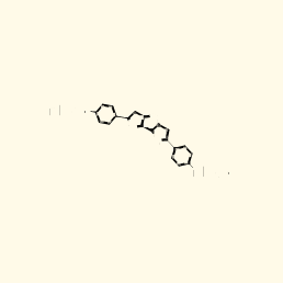 CCCCCCc1ccc(-c2cc3sc4cc(-c5ccc(CCCCCC)cc5)sc4c3s2)cc1